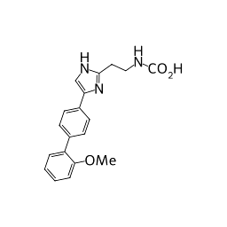 COc1ccccc1-c1ccc(-c2c[nH]c(CCNC(=O)O)n2)cc1